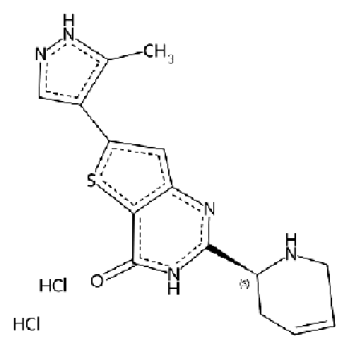 Cc1[nH]ncc1-c1cc2nc([C@@H]3CC=CCN3)[nH]c(=O)c2s1.Cl.Cl